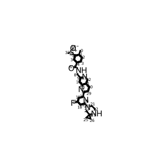 Cc1ccc(C(=O)NCc2cc3nc(-c4cc(F)cc(N5CCNC6(CC6)C5)n4)ccc3cn2)cc1[S+](C)[O-]